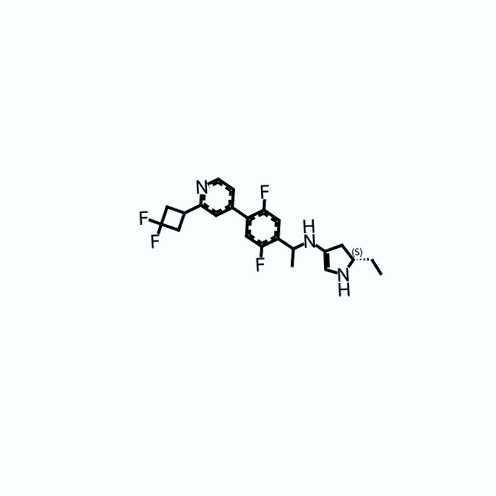 CC[C@H]1CC(NC(C)c2cc(F)c(-c3ccnc(C4CC(F)(F)C4)c3)cc2F)=CN1